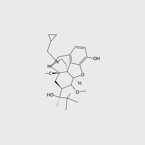 CC[C@]12C[C@H]([C@](C)(O)C(C)(C)C)C(OC)[C@@H]3Oc4c(O)ccc5c4[C@@]31CCN(CC1CC1)[C@@H]2C5